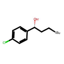 CC(C)(C)CC[C@@H](O)c1ccc(Cl)cc1